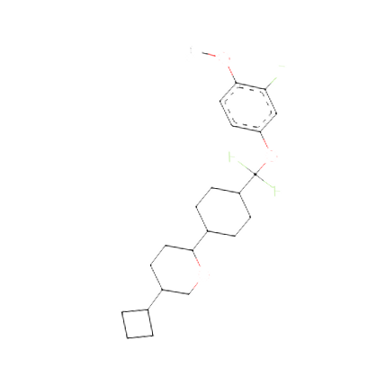 Fc1cc(OC(F)(F)C2CCC(C3CCC(C4CCC4)CO3)CC2)ccc1OC(F)(F)F